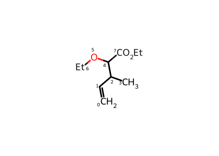 C=CC(C)C(OCC)C(=O)OCC